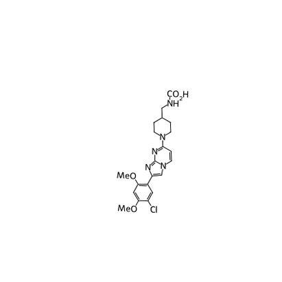 COc1cc(OC)c(-c2cn3ccc(N4CCC(CNC(=O)O)CC4)nc3n2)cc1Cl